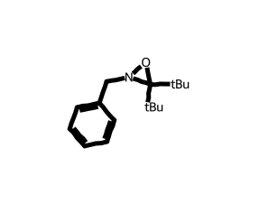 CC(C)(C)C1(C(C)(C)C)ON1Cc1ccccc1